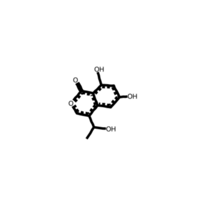 CC(O)c1coc(=O)c2c(O)cc(O)cc12